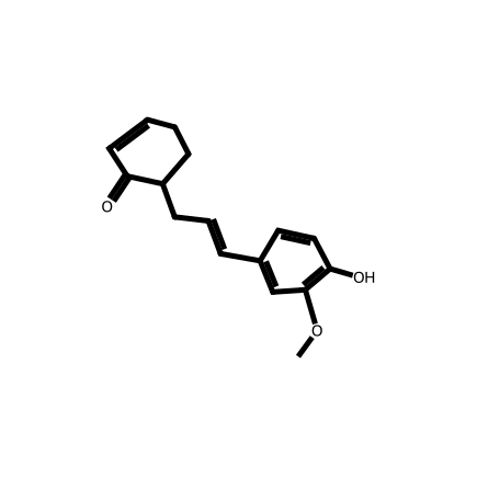 COc1cc(C=CCC2CCC=CC2=O)ccc1O